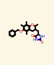 Cc1c(C)c2c(c(C)c1OCc1ccccc1)CC(CC1NC(=O)NC1=O)C(C)O2